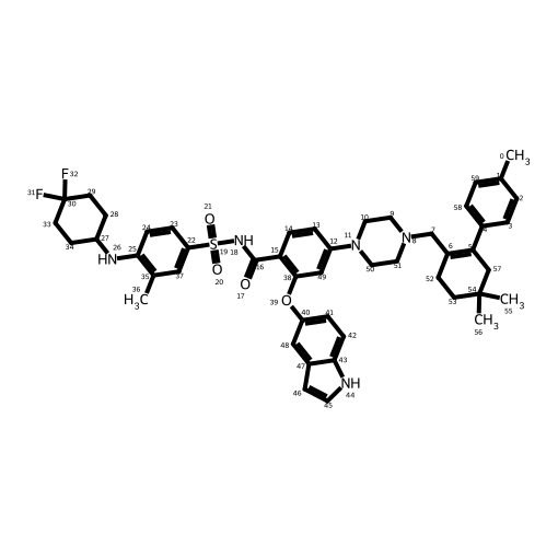 Cc1ccc(C2=C(CN3CCN(c4ccc(C(=O)NS(=O)(=O)c5ccc(NC6CCC(F)(F)CC6)c(C)c5)c(Oc5ccc6[nH]ccc6c5)c4)CC3)CCC(C)(C)C2)cc1